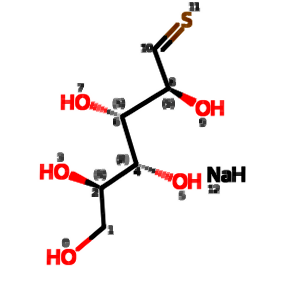 OC[C@@H](O)[C@@H](O)[C@H](O)[C@H](O)C=S.[NaH]